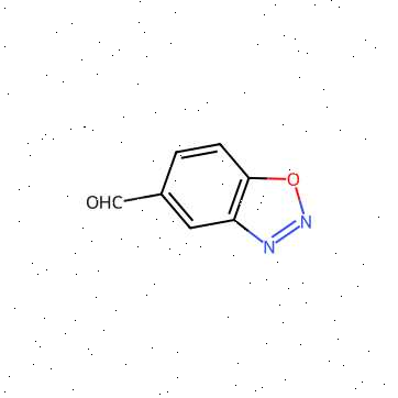 O=Cc1ccc2onnc2c1